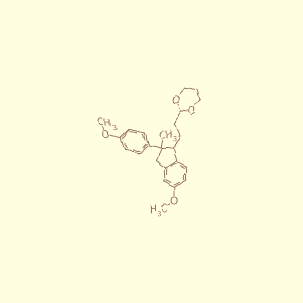 COc1ccc(C2(C)Cc3cc(OC)ccc3C2CCC2OCCCO2)cc1